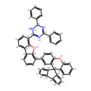 c1ccc(C2=NC(c3ccccc3)NC(c3cccc4c3oc3c(-c5ccc6c(c5)C5(c7ccccc7O6)c6ccccc6-c6ccccc65)cccc34)=N2)cc1